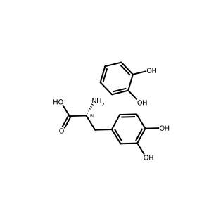 N[C@H](Cc1ccc(O)c(O)c1)C(=O)O.Oc1ccccc1O